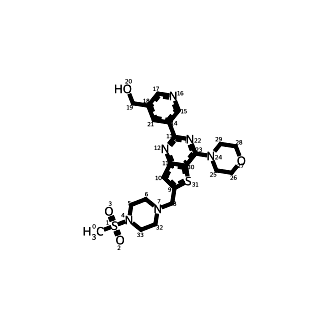 CS(=O)(=O)N1CCN(Cc2cc3nc(-c4cncc(CO)c4)nc(N4CCOCC4)c3s2)CC1